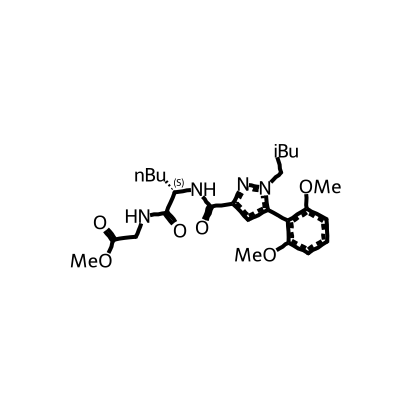 CCCC[C@H](NC(=O)c1cc(-c2c(OC)cccc2OC)n(CC(C)CC)n1)C(=O)NCC(=O)OC